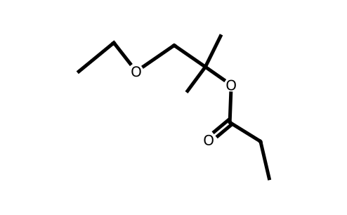 CCOCC(C)(C)OC(=O)CC